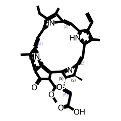 C=Cc1c2[nH]c(c1C)/C=C1\N=C(C3=c4[nH]/c(c(C)c4C(=O)C3C(=O)OC)=C\C3N/C(=C\2)C(C)=C3CC)[C@@H](/C=C/C(=O)O)[C@@H]1C